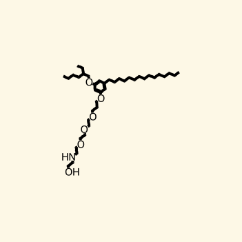 CCCCCCCCCCCCCCCc1cc(OCCCOCCOCCOCCNCCO)cc(OCC(CC)CCCC)c1